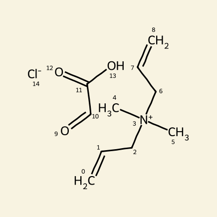 C=CC[N+](C)(C)CC=C.O=CC(=O)O.[Cl-]